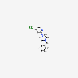 ClCc1ccnc(N2CCN(Cc3ccccc3)CC2)c1